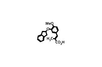 COc1ccc(C=C(C)C(=O)O)cc1OC1Cc2ccccc2C1